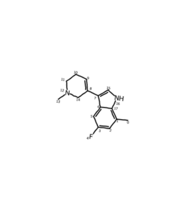 Cc1cc(F)cc2c(C3=CCCN(C)C3)c[nH]c12